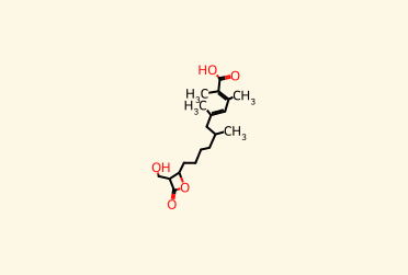 CC(=CC(C)=C(C)C(=O)O)CC(C)CCCCC1OC(=O)C1CO